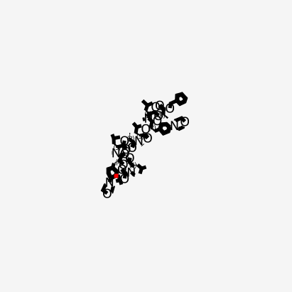 CC(C)C[C@@H](C(=O)O[C@H](Cc1ccc(N2CCOCC2)cc1)C(=O)N(C)[C@@H](CC(C)C)C(=O)O[C@H](C)C(=O)N(C)[C@@H](CC(C)C)C(=O)O[C@H](Cc1ccc(N2CCOCC2)cc1)C(=O)N(C)[C@@H](CC(C)C)C(=O)O[C@H](C)C(=O)OCc1ccccc1)N(C)C(=O)OC(C)(C)C